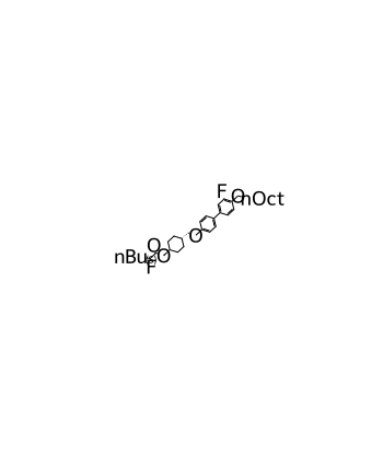 CCCCCCCCOc1ccc(-c2ccc(OC[C@H]3CC[C@H](OC(=O)[C@@H](F)CCCC)CC3)cc2)cc1F